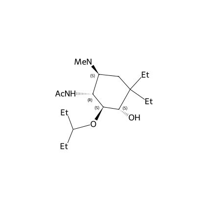 CCC(CC)O[C@H]1[C@H](NC(C)=O)[C@@H](NC)CC(CC)(CC)[C@@H]1O